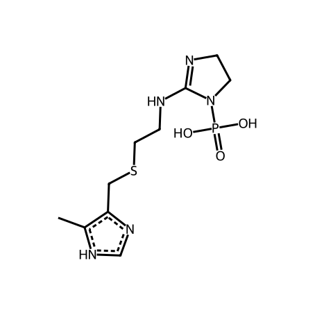 Cc1[nH]cnc1CSCCNC1=NCCN1P(=O)(O)O